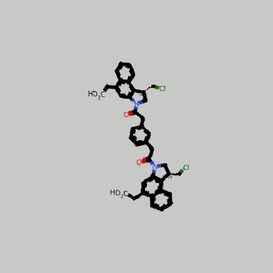 O=C(O)Cc1cc2c(c3ccccc13)[C@H](CCl)CN2C(=O)Cc1cccc(CC(=O)N2C[C@@H](CCl)c3c2cc(CC(=O)O)c2ccccc32)c1